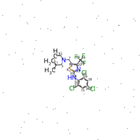 C=C(C)CN(CC)Cc1sc(Nc2c(Cl)cc(Cl)cc2Cl)nc1C(F)(F)F